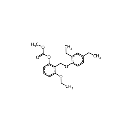 CCOc1cccc(OC(=O)OC)c1COc1ccc(CC)cc1CC